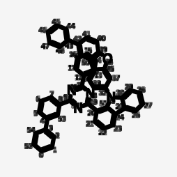 c1ccc(-c2cccc(-c3nc(-c4ccccc4)nc(-c4cccc5c6ccccc6n(-c6ccc7c(c6)oc6ccc(-c8ccccc8)cc67)c45)n3)c2)cc1